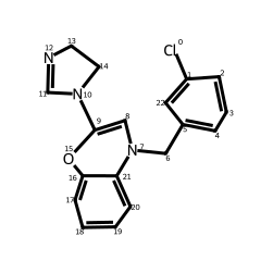 Clc1cccc(CN2C=C(N3C=NCC3)Oc3ccccc32)c1